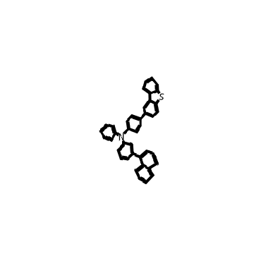 c1ccc(N(c2ccc(-c3ccc4sc5ccccc5c4c3)cc2)c2cccc(-c3cccc4ccccc34)c2)cc1